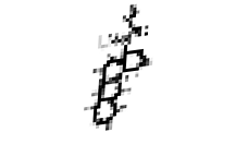 C=CC(=O)N(N)c1cccc2c1ccc1cc3ccccc3cc12